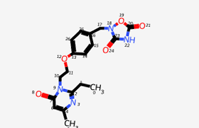 CCc1nc(C)cc(=O)n1CCOc1ccc(Cn2oc(=O)[nH]c2=O)cc1